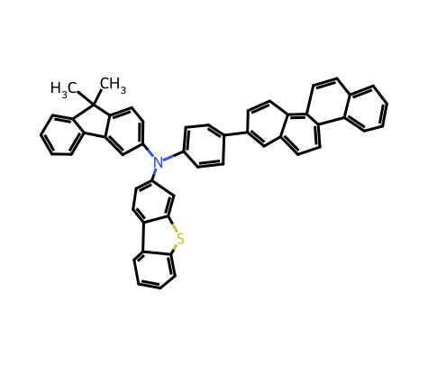 CC1(C)c2ccccc2-c2cc(N(c3ccc(-c4ccc5c(ccc6c7ccccc7ccc56)c4)cc3)c3ccc4c(c3)sc3ccccc34)ccc21